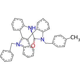 Cc1ccc(CN2C(=O)[C@@]3(Nc4ccccc4-c4c3c3ccccc3n4Cc3ccccc3)c3ccccc32)cc1